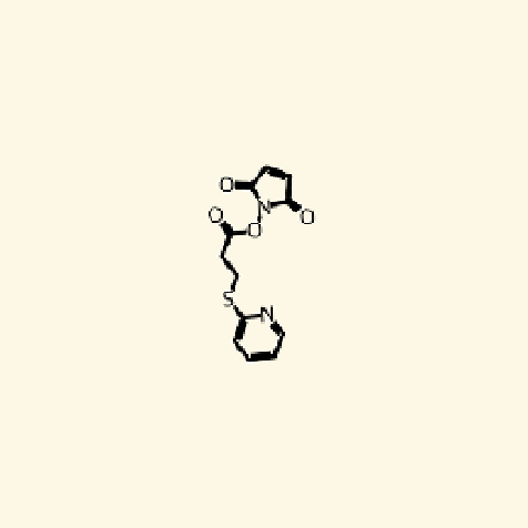 O=C(CCSc1ccccn1)ON1C(=O)C=CC1=O